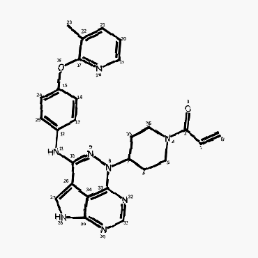 C=CC(=O)N1CCC(N2N=C(Nc3ccc(Oc4ncccc4C)cc3)c3c[nH]c4ncnc2c34)CC1